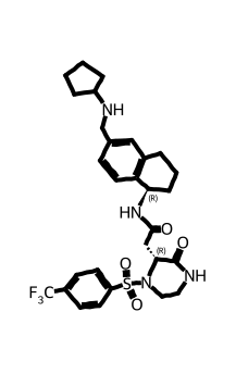 O=C(C[C@@H]1C(=O)NCCN1S(=O)(=O)c1ccc(C(F)(F)F)cc1)N[C@@H]1CCCc2cc(CNC3CCCC3)ccc21